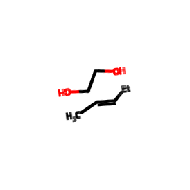 C/C=C/CC.OCCO